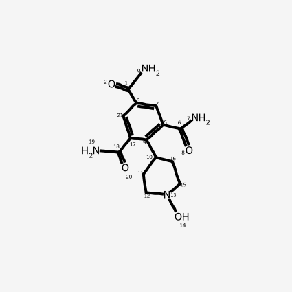 NC(=O)c1cc(C(N)=O)c(C2CCN(O)CC2)c(C(N)=O)c1